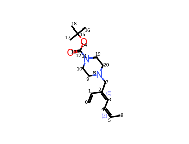 C=C/C(=C\C=C/C)CN1CCN(C(=O)OC(C)(C)C)CC1